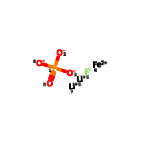 O=P([O-])([O-])[O-].[F-].[Fe+2].[Li+].[Li+]